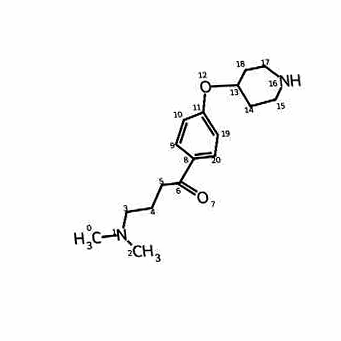 CN(C)CCCC(=O)c1ccc(OC2CCNCC2)cc1